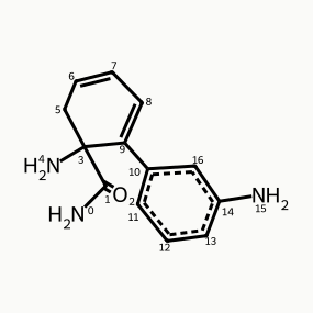 NC(=O)C1(N)CC=CC=C1c1cccc(N)c1